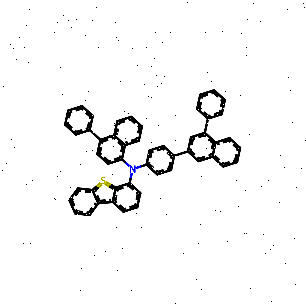 c1ccc(-c2cc(-c3ccc(N(c4ccc(-c5ccccc5)c5ccccc45)c4cccc5c4sc4ccccc45)cc3)cc3ccccc23)cc1